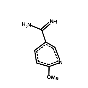 COc1ccc(C(=N)N)cn1